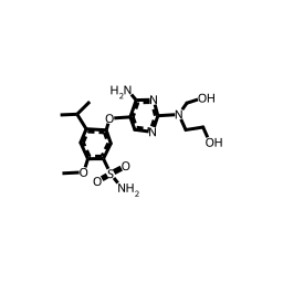 COc1cc(C(C)C)c(Oc2cnc(N(CO)CCO)nc2N)cc1S(N)(=O)=O